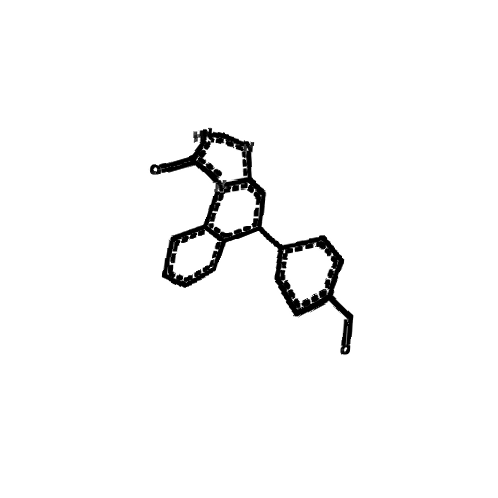 O=Cc1ccc(-c2cc3n[nH]c(=O)n3c3ccccc23)cc1